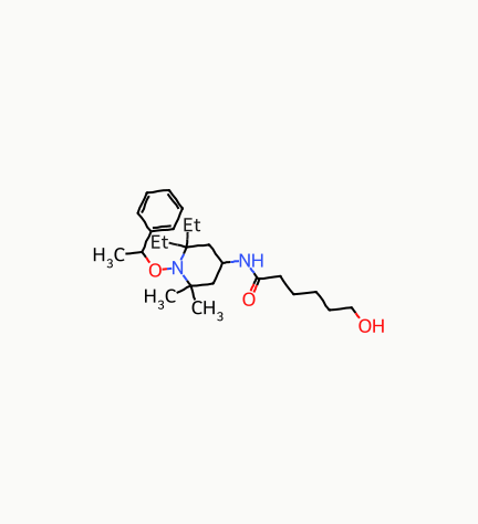 CCC1(CC)CC(NC(=O)CCCCCO)CC(C)(C)N1OC(C)c1ccccc1